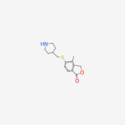 Cc1c(SCC2CCNCC2)ccc2c1COC2=O